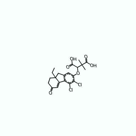 CCC12CCC(=O)C=C1c1c(cc(OC(C(=O)O)C(C)(C)C(=O)O)c(Cl)c1Cl)C2